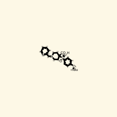 CCCCOc1ccc(S(=O)(=O)C2(C(=O)O)CCN(Cc3ccccn3)CC2)cc1